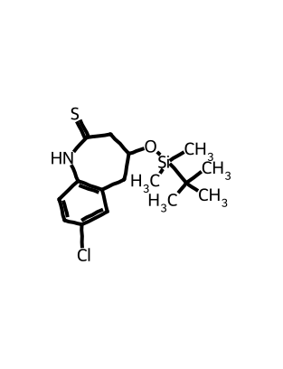 CC(C)(C)[Si](C)(C)OC1CC(=S)Nc2ccc(Cl)cc2C1